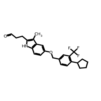 Cc1c(CCC=O)[nH]c2ccc(OCc3ccc(C4CCCC4)c(C(F)(F)F)c3)cc12